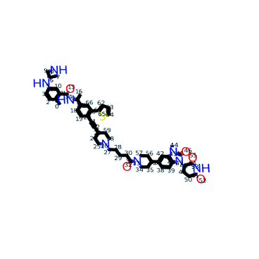 Cc1ccc(NC2CNC2)cc1C(=O)NC(C)c1ccc(C#CC2CCN(CCCCC(=O)N3CCC(c4ccc5c(c4)n(C)c(=O)n5C4CCC(=O)NC4=O)CC3)CC2)c(-c2cccs2)c1